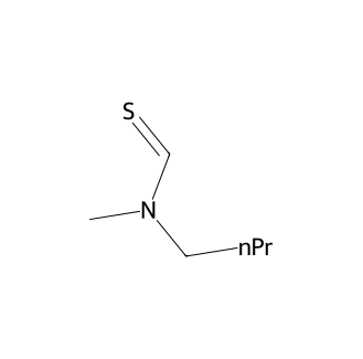 CCCCN(C)C=S